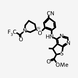 COC(=O)C1Sc2ncnc(Nc3ccc(C#N)cc3O[C@H]3CCCN(C(=O)C(F)(F)F)C3)c2C1C